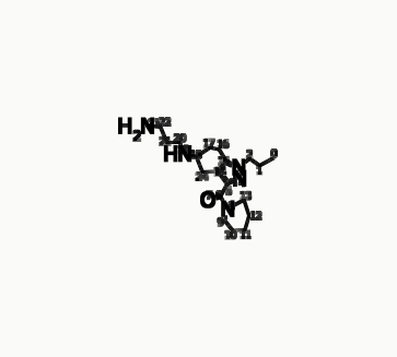 CCCn1nc(C(=O)N2CCCCC2)c2c1CCC(NCCCN)C2